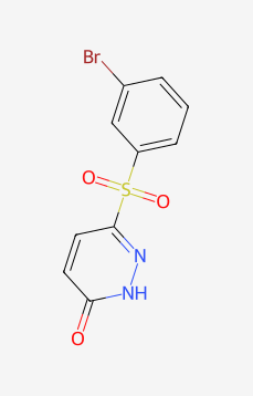 O=c1ccc(S(=O)(=O)c2cccc(Br)c2)n[nH]1